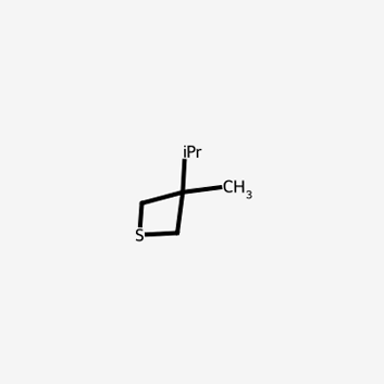 CC(C)C1(C)CSC1